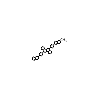 Cc1ccc2cc(-c3ccc(-c4cc5c6ccccc6c(-c6ccc(-c7ccc8ccccc8c7)cc6)cc5c5ccccc45)cc3)ccc2c1